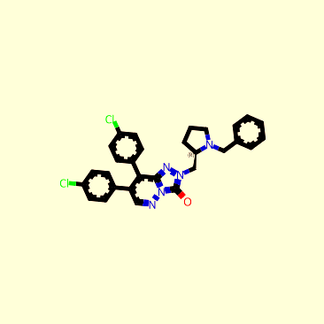 O=c1n(C[C@H]2CCCN2Cc2ccccc2)nc2c(-c3ccc(Cl)cc3)c(-c3ccc(Cl)cc3)cnn12